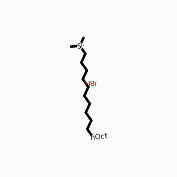 Br.CCCCCCCCCCCCCCCCCC[Si](C)C